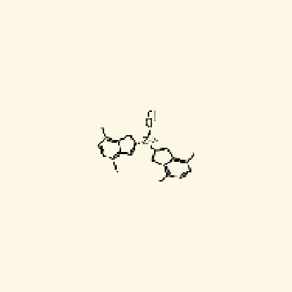 [CH2]=[Zr+2]([C]1=Cc2c(C)ccc(C)c2C1)[C]1=Cc2c(C)ccc(C)c2C1.[Cl-].[Cl-]